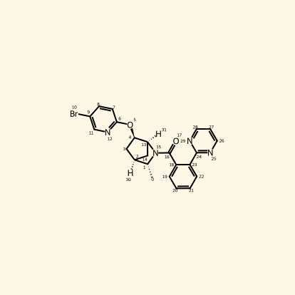 C[C@@H]1[C@H]2C[C@@H](Oc3ccc(Br)cn3)[C@H](C2)N1C(=O)c1ccccc1-c1ncccn1